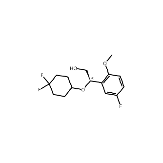 COc1ccc(F)cc1[C@H](CO)OC1CCC(F)(F)CC1